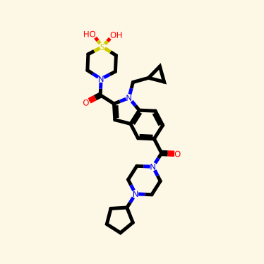 O=C(c1ccc2c(c1)cc(C(=O)N1CCS(O)(O)CC1)n2CC1CC1)N1CCN(C2CCCC2)CC1